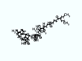 CCCC(CCC)C(=O)SCCNC(=O)CCNC(=O)[C@H](O)C(C)(C)COP(=O)(O)OP(=O)(O)OC[C@H]1O[C@@H](n2cnc3c(N)ncnc32)[C@H](O)[C@@H]1OP(=O)(O)O